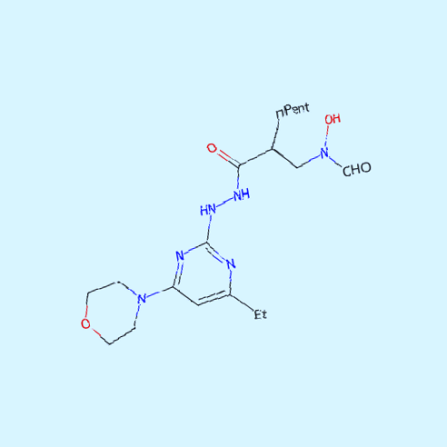 CCCCCC(CN(O)C=O)C(=O)NNc1nc(CC)cc(N2CCOCC2)n1